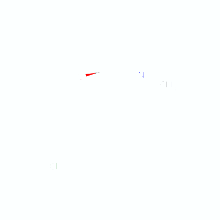 CN1CC[C@H](Oc2ccc(Cl)cc2)C1